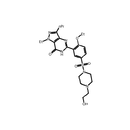 CCCc1nn(CC)c2c(=O)[nH]c(-c3cc(S(=O)(=O)N4CCN(CCO)CC4)ccc3OCC)nc12